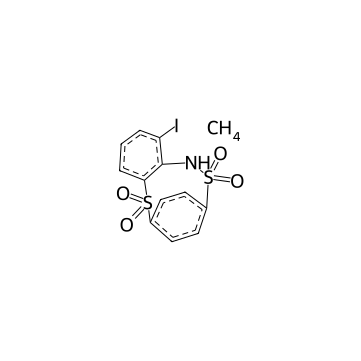 C.O=S1(=O)Nc2c(I)cccc2S(=O)(=O)c2ccc1cc2